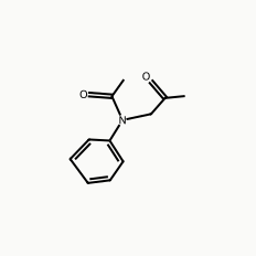 CC(=O)CN(C(C)=O)c1ccccc1